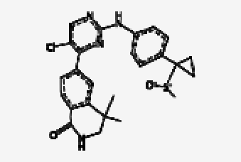 C[S+]([O-])C1(c2ccc(Nc3ncc(Cl)c(-c4ccc5c(c4)C(C)(C)CNC5=O)n3)cc2)CC1